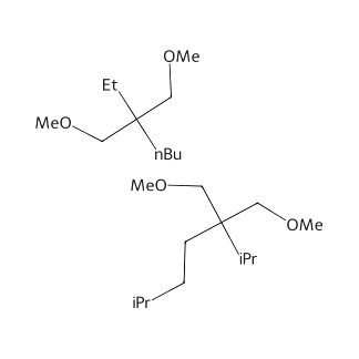 CCCCC(CC)(COC)COC.COCC(CCC(C)C)(COC)C(C)C